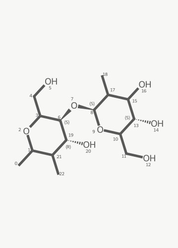 CC1OC(CO)[C@@H](O[C@@H]2OC(CO)[C@@H](O)C(O)C2C)[C@H](O)C1C